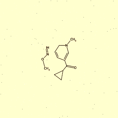 CN1C=C(C(=O)C2CC2)C=CC1.CON=[IH]